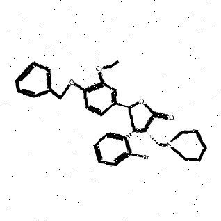 COc1cc([C@H]2OC(=O)[C@H](CN3CCCCC3)[C@@H]2c2ccccc2Br)ccc1OCc1ccccc1